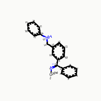 CO/N=C(\c1ccccc1)c1cccc(CNc2ccccc2)c1